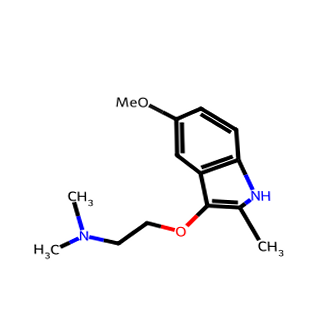 COc1ccc2[nH]c(C)c(OCCN(C)C)c2c1